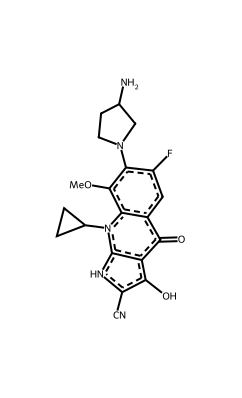 COc1c(N2CCC(N)C2)c(F)cc2c(=O)c3c(O)c(C#N)[nH]c3n(C3CC3)c12